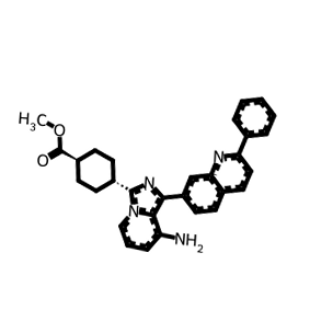 COC(=O)[C@H]1CC[C@H](c2nc(-c3ccc4ccc(-c5ccccc5)nc4c3)c3c(N)cccn32)CC1